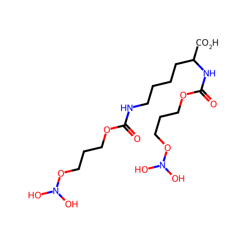 O=C(NCCCCC(NC(=O)OCCCON(O)O)C(=O)O)OCCCON(O)O